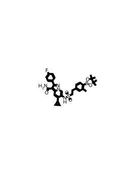 Cc1cc(CCS(=O)(=O)Nc2cn3nc(-c4ccc(F)cc4)c(C(N)=O)c3cc2C2CC2)ccc1B1OC(C)(C)C(C)(C)O1